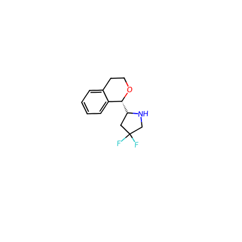 FC1(F)CNC([C@H]2OCCc3ccccc32)C1